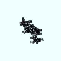 CCCCS(=O)(=O)NC[C@H]1[C@@H](O)[C@H](n2c[n+](C)c3c(=O)[nH]c(N)nc32)O[C@@H]1COP(=O)(O)OP(=O)(O)OP(=O)(O)OC[C@H]1O[C@@H](n2cnc3c(N)ncnc32)[C@H](OC)[C@@H]1P(=O)([O-])OC[C@H]1O[C@@H](n2cnc3c(=O)[nH]c(N)nc32)[C@H](O)[C@@H]1O